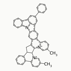 Cc1ccc2[n+](c1)C1c3c(c4cc5c(cc4c4ccc(C)c[n+]34)c3cc(-c4ccccc4)cc4c6ccccc6n5c43)CC1c1ccccc1-2